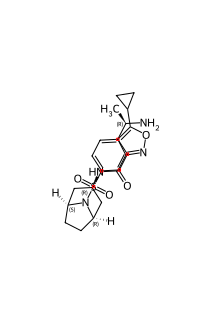 C[C@@H](N)c1ccc(S(=O)(=O)N2[C@@H]3CC[C@H]2C[C@@H](NC(=O)c2cc(C4CC4)on2)C3)cc1